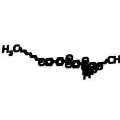 CCCCCCCCCCOc1ccc(-c2ccc(C(=O)Oc3ccc(C(=O)O[C@@H]4CC[C@@H](OCCCC)O[C@H]4C(F)(F)F)cc3)cc2)cc1